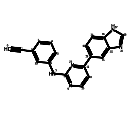 C#Cc1cccc(Nc2nccc(-c3ccc4[nH]cnc4c3)n2)c1